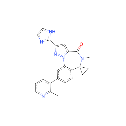 Cc1ncccc1-c1ccc2c(c1)-n1nc(-c3ncc[nH]3)cc1C(=O)N(C)C21CC1